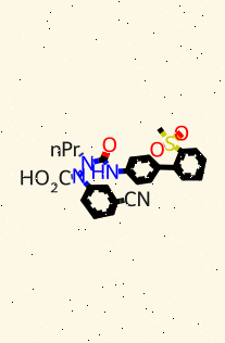 CCCN(C(=O)Nc1ccc(-c2ccccc2S(C)(=O)=O)cc1)N(C(=O)O)c1cccc(C#N)c1